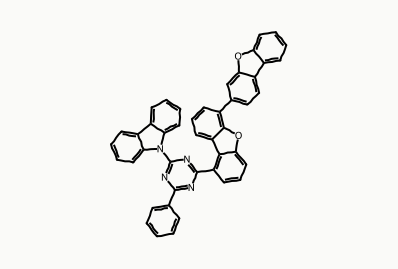 c1ccc(-c2nc(-c3cccc4oc5c(-c6ccc7c(c6)oc6ccccc67)cccc5c34)nc(-n3c4ccccc4c4ccccc43)n2)cc1